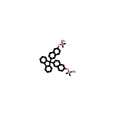 CC(C)(C)[Si](C)(C)Oc1ccc2cc(C3(c4ccc5cc(O[Si](C)(C)C(C)(C)C)ccc5c4)c4ccccc4-c4ccccc43)ccc2c1